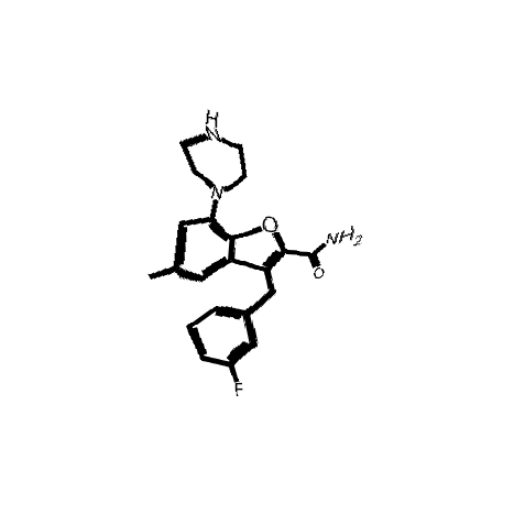 Cc1cc(N2CCNCC2)c2oc(C(N)=O)c(Cc3cccc(F)c3)c2c1